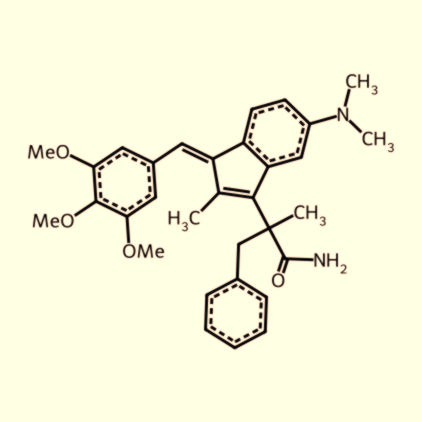 COc1cc(C=C2C(C)=C(C(C)(Cc3ccccc3)C(N)=O)c3cc(N(C)C)ccc32)cc(OC)c1OC